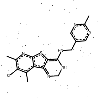 Cc1ncc(CNC2=c3sc4nc(C)c(Cl)c(C)c4c3=NCN2)cn1